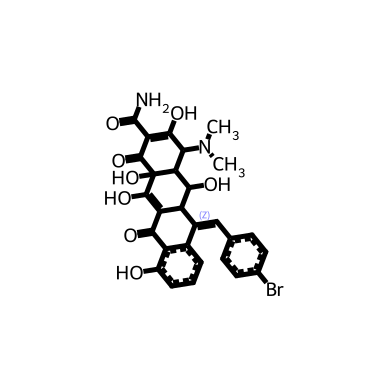 CN(C)C1C(O)=C(C(N)=O)C(=O)C2(O)C(O)=C3C(=O)c4c(O)cccc4/C(=C\c4ccc(Br)cc4)C3C(O)C12